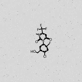 Cn1c(C(F)(F)F)cc(=O)n(-c2cc(CO)c(Cl)cc2F)c1=O